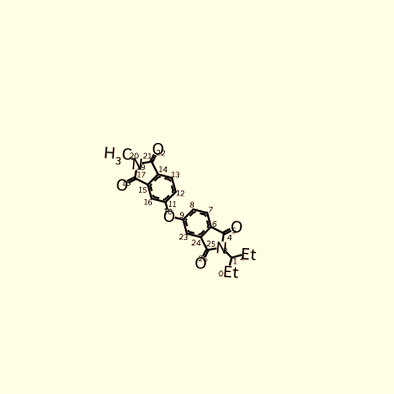 CCC(CC)N1C(=O)c2ccc(Oc3ccc4c(c3)C(=O)N(C)C4=O)cc2C1=O